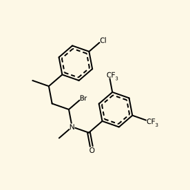 CC(CC(Br)N(C)C(=O)c1cc(C(F)(F)F)cc(C(F)(F)F)c1)c1ccc(Cl)cc1